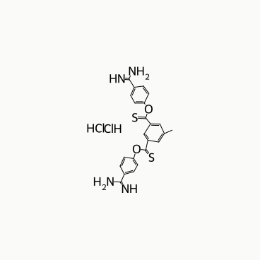 Cc1cc(C(=S)Oc2ccc(C(=N)N)cc2)cc(C(=S)Oc2ccc(C(=N)N)cc2)c1.Cl.Cl